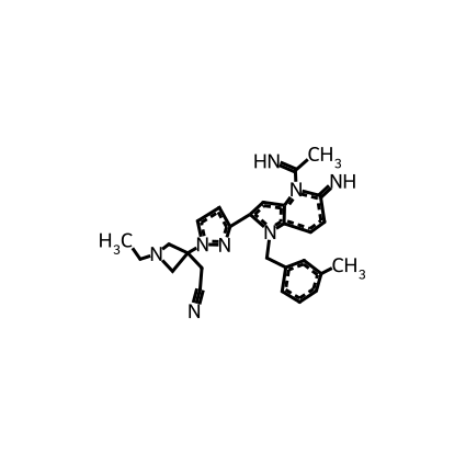 CCN1CC(CC#N)(n2ccc(-c3cc4c(ccc(=N)n4C(C)=N)n3Cc3cccc(C)c3)n2)C1